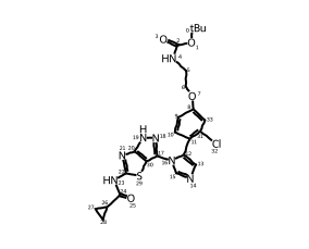 CC(C)(C)OC(=O)NCCOc1ccc(-c2cncn2-c2n[nH]c3nc(NC(=O)C4CC4)sc23)c(Cl)c1